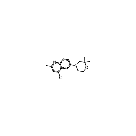 Cc1cc(Cl)c2cc(N3CCOC(C)(C)C3)ccc2n1